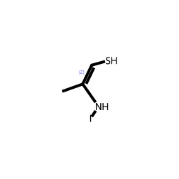 C/C(=C/S)NI